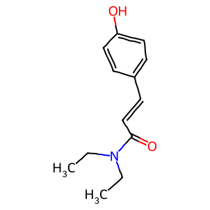 CCN(CC)C(=O)C=Cc1ccc(O)cc1